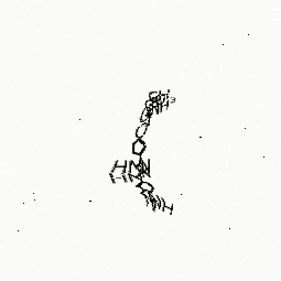 CS(=O)(=O)NC(=O)COC1=CC=C(c2nnc(Nc3ccc4[nH]ncc4c3)[nH]2)CC1